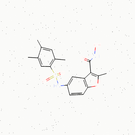 Cc1cc(C)c(S(=O)(=O)Nc2ccc3oc(C)c(C(=O)NO)c3c2)cc1C